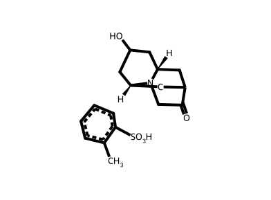 Cc1ccccc1S(=O)(=O)O.O=C1CN2[C@@H]3CC(O)C[C@@H]2CC1C3